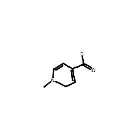 CN1C=CC(C(=O)Cl)=CC1